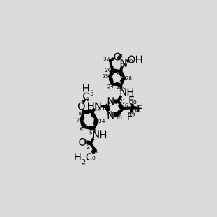 C=CC(=O)Nc1ccc(OC)c(Nc2ncc(C(F)(F)F)c(Nc3ccc4c(c3)N(O)OC4)n2)c1